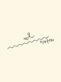 CCC(=O)O.CCCCCCCCCCCCCCCCC(C)C(C)(N)O